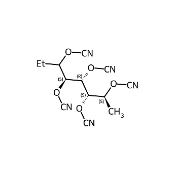 CCC(OC#N)[C@H](OC#N)[C@H](OC#N)[C@@H](OC#N)[C@H](C)OC#N